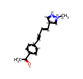 CC(=O)c1ccc(C#C/C=C/c2cnn(C)c2)cc1